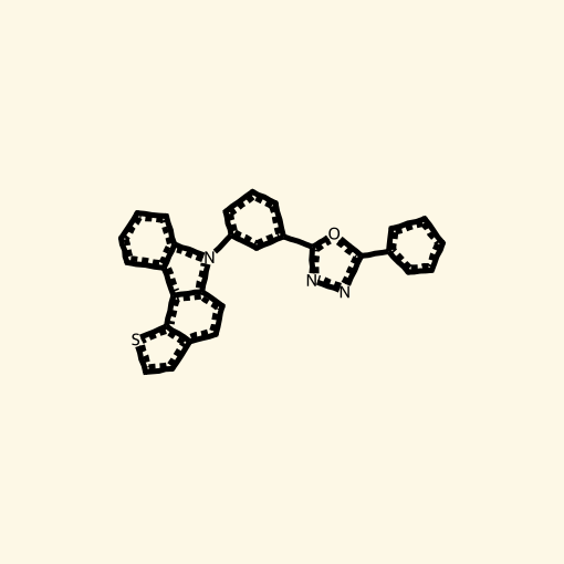 c1ccc(-c2nnc(-c3cccc(-n4c5ccccc5c5c6sccc6ccc54)c3)o2)cc1